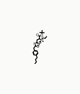 CCCCc1ccc(Cc2nc(CC(C(=O)OC(C)(C)C)P(C)(=O)OCC)no2)cc1